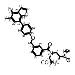 CC(CN(CC(=O)O)C(=O)c1cccc(COc2ccc(-c3cc(F)c(F)c4ccoc34)cc2)c1)[SH](=O)=O